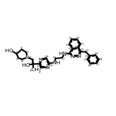 CC(O)(CN1CCC(O)CC1)c1cnc(NCCNc2nnc(Cc3ccccc3)c3ccccc23)cn1